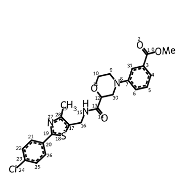 COC(=O)c1cccc(N2CCOC(C(=O)NCc3sc(-c4ccc(Cl)cc4)nc3C)C2)c1